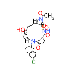 CC(=O)N1C[C@@H]2C/C=C/[C@H](O)[C@@H]3CC[C@H]3CN3C[C@@]4(CCCc5cc(Cl)ccc54)COc4ccc(cc43)C(=O)NS(=O)(=O)[C@H]2C1